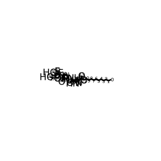 CCCCCCCCCCCOC(=O)c1cc(C(=O)Nc2ccn([C@@H]3O[C@H](CO)[C@@H](O)C3(F)F)c(=O)n2)[nH]n1